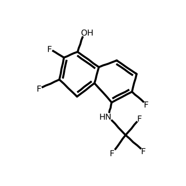 Oc1c(F)c(F)cc2c(NC(F)(F)F)c(F)ccc12